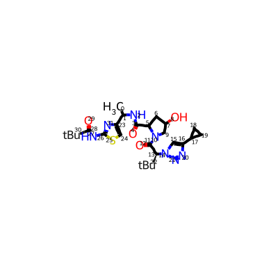 CC(NC(=O)C1CC(O)CN1C(=O)[C@@H](n1cc(C2CC2)nn1)C(C)(C)C)c1csc(NC(=O)C(C)(C)C)n1